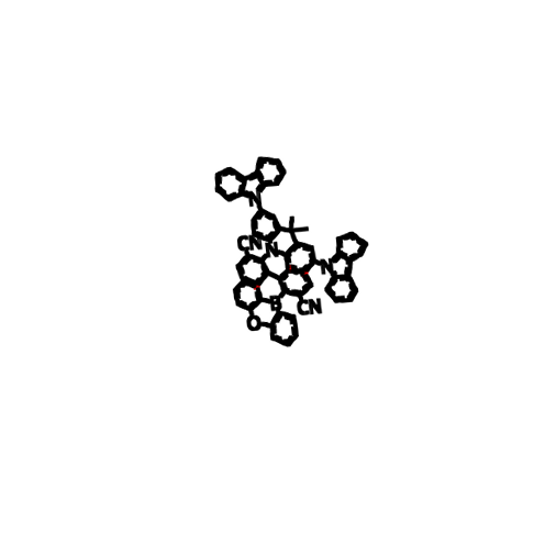 CC1(C)c2cc(-n3c4ccccc4c4ccccc43)ccc2N(c2c(C#N)cccc2-c2cccc(C#N)c2B2c3ccccc3Oc3ccccc32)c2ccc(-n3c4ccccc4c4ccccc43)cc21